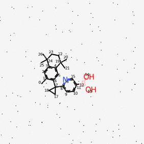 Cc1cc2c(cc1C1(c3ccc(B(O)O)cn3)CC1)C(C)(C)CCC2(C)C